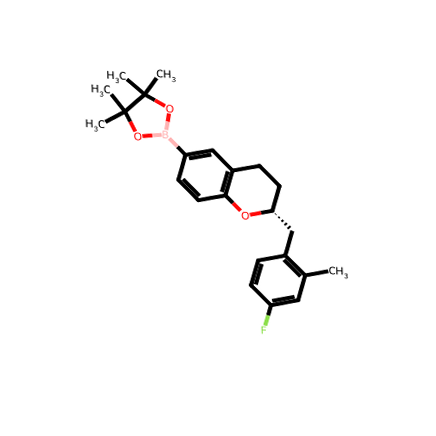 Cc1cc(F)ccc1C[C@H]1CCc2cc(B3OC(C)(C)C(C)(C)O3)ccc2O1